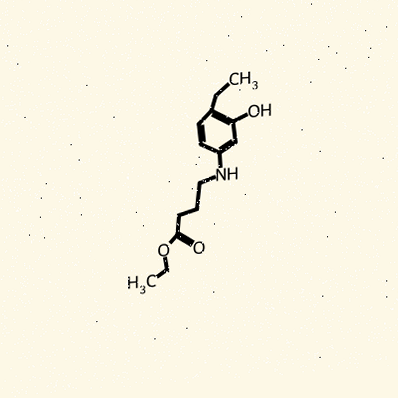 CCOC(=O)CCCNc1ccc(CC)c(O)c1